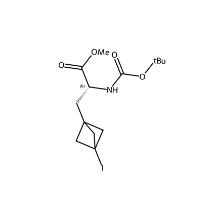 COC(=O)[C@@H](CC12CC(I)(C1)C2)NC(=O)OC(C)(C)C